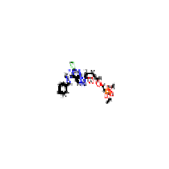 CCOP(=O)(CCOC[C@@H]1CC[C@H](n2ncc3c(N(C)Cc4ccccc4)nc(Cl)nc32)O1)OCC